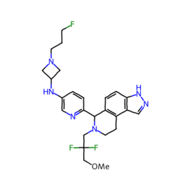 COCC(F)(F)CN1CCc2c(ccc3[nH]ncc23)C1c1ccc(NC2CN(CCCF)C2)cn1